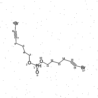 O=[PH](OCCCCC#CBr)OCCCCC#CBr